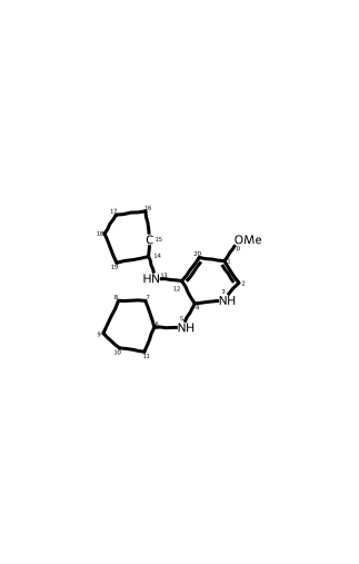 COC1=CNC(NC2CCCCC2)C(NC2CCCCC2)=C1